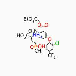 CCOC(=O)COC(=O)c1cc(Oc2ccc(C(F)(F)F)cc2Cl)ccc1[N+](=O)[O-].CP(=O)(O)CCC(N)C(=O)O